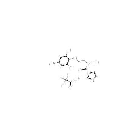 CCCN(CCOc1c(Cl)cc(Cl)cc1Cl)C(=O)n1ccnc1.O=C(O)C(F)(F)F